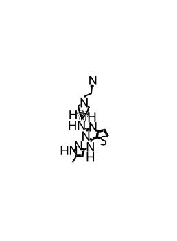 Cc1cc(Nc2nc(N[C@@H]3[C@@H]4CN(CCC#N)C[C@@H]43)nc3ccsc23)n[nH]1